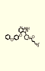 CN(C)CC=CC(=O)N1CCCC(c2n[nH]c3nccc(Oc4ccc(Oc5ccccc5)cc4)c23)C1